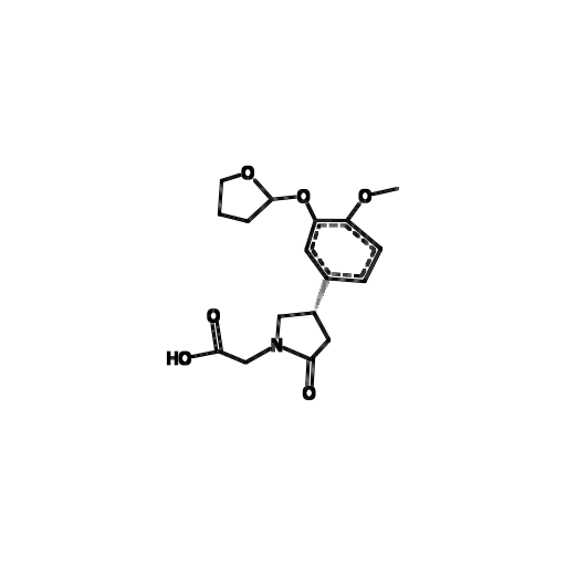 COc1ccc([C@@H]2CC(=O)N(CC(=O)O)C2)cc1OC1CCCO1